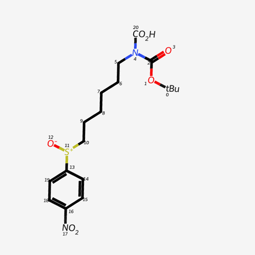 CC(C)(C)OC(=O)N(CCCCCC[S+]([O-])c1ccc([N+](=O)[O-])cc1)C(=O)O